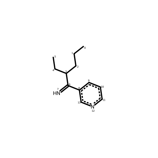 CCCC(CC)C(=N)c1cccnc1